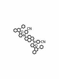 N#Cc1ccc(N(c2ccc3ccc4c(N(c5ccc(C#N)cc5)c5cccc6c5oc5c(-c7ccccc7)cc7ccccc7c56)ccc5ccc2c3c54)c2cccc3c2oc2c(-c4ccccc4)cc4ccccc4c23)cc1